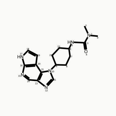 CN(C)C(=O)NC1CCC(n2cnc3cnc4[nH]ccc4c32)CC1